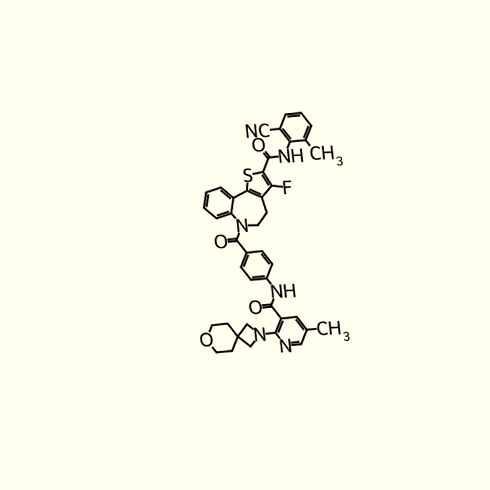 Cc1cnc(N2CC3(CCOCC3)C2)c(C(=O)Nc2ccc(C(=O)N3CCc4c(sc(C(=O)Nc5c(C)cccc5C#N)c4F)-c4ccccc43)cc2)c1